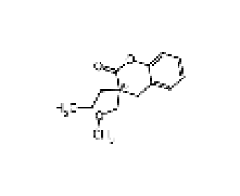 CCC[C@]1(COC)Cc2ccccc2OC1=O